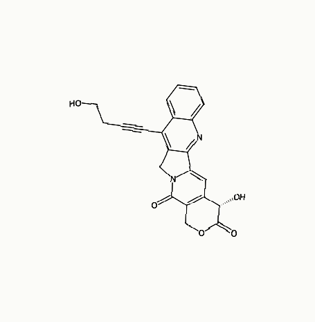 O=C1OCc2c(cc3n(c2=O)Cc2c-3nc3ccccc3c2C#CCCO)[C@@H]1O